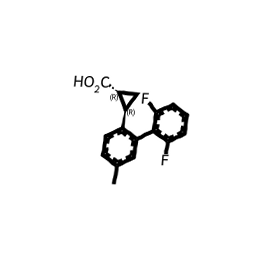 Cc1ccc([C@@H]2C[C@H]2C(=O)O)c(-c2c(F)cccc2F)c1